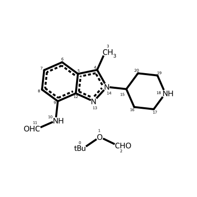 CC(C)(C)OC=O.Cc1c2cccc(NC=O)c2nn1C1CCNCC1